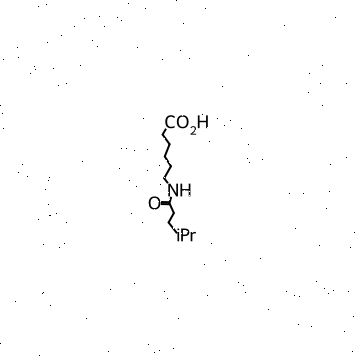 CC(C)CCC(=O)NCCCCCC(=O)O